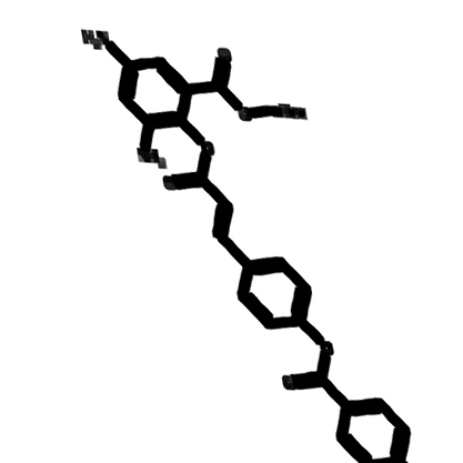 CCCCCCOC(=O)c1cc(N)cc(N)c1OC(=O)C=Cc1ccc(OC(=O)c2ccc(C(F)(F)F)cc2)cc1